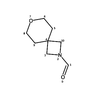 O=CN1CC2(CCOCC2)C1